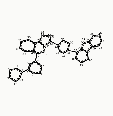 c1ccc(-c2cccc(-c3cn4c(-c5ccc(-c6cccc7c6sc6ccccc67)cc5)nnc4c4ccccc34)c2)cc1